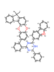 CC1(C)c2ccccc2-c2c1ccc1c2Oc2cc(-c3ccccc3C3=NC(c4ccccc4)NC(c4ccc5c(c4)oc4ccccc45)=N3)ccc2O1